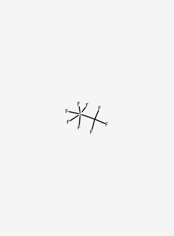 FC(F)(F)S(F)(F)(F)(F)F